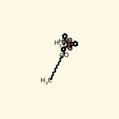 CCCCCCCCCCCCCCOC(=O)c1cccc(C(=O)C(OC)(C(=O)Nc2ccccc2)N2C(=O)c3ccccc3C2=O)c1